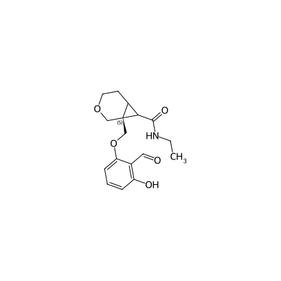 CCNC(=O)C1C2CCOC[C@]21COc1cccc(O)c1C=O